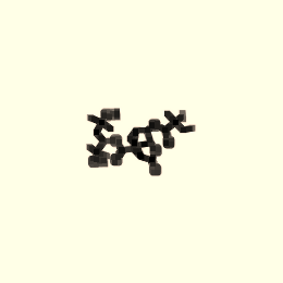 CCC(C)(I)C(=O)OC1C2CC3C1OC(=O)C3C2C(=O)OC(CC(C)(C)O)C(C)(C)O